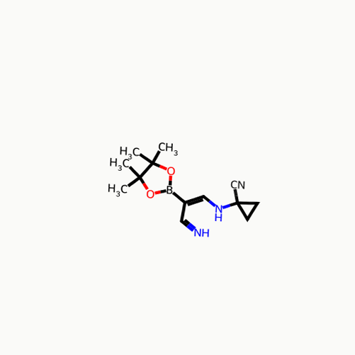 CC1(C)OB(/C(C=N)=C/NC2(C#N)CC2)OC1(C)C